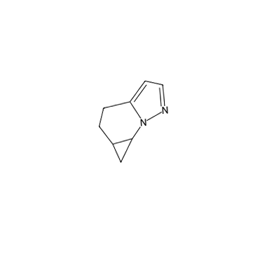 c1cc2n(n1)C1CC1CC2